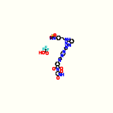 CS(=O)(=O)Nc1ccc(CCNc2nc(N3CC(N4CCN(C5CN(c6ccc7c(c6)C(=O)N(C6CCC(=O)NC6=O)C7=O)C5)CC4)C3)nc3ccccc23)cc1.O=C(O)C(F)(F)F